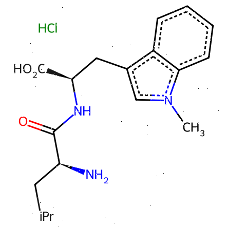 CC(C)C[C@H](N)C(=O)N[C@H](Cc1cn(C)c2ccccc12)C(=O)O.Cl